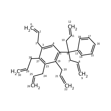 C=CCc1cc(C(CC=C)(CC=C)c2ccccc2)c(CC=C)c(CC=C)c1CC=C